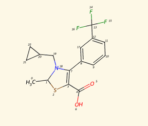 CC1SC(C(=O)O)=C(c2cccc(C(F)(F)F)c2)N1CC1CC1